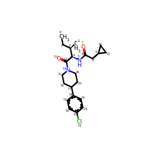 CC[C@@H](C)[C@@H](NC(=O)CC1CC1)C(=O)N1CCC(c2ccc(Cl)cc2)CC1